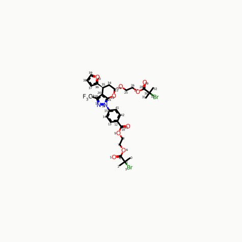 CC(C)(Br)C(=O)OCCOC(=O)c1ccc(-n2nc(C(F)(F)F)c3c2O[C@@H](OCCOC(=O)C(C)(C)Br)C[C@@H]3c2ccco2)cc1